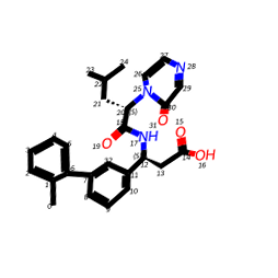 Cc1ccccc1-c1cccc([C@H](CC(=O)O)NC(=O)[C@H](CC(C)C)n2ccncc2=O)c1